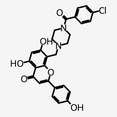 O=C(c1ccc(Cl)cc1)N1CCN(Cc2c(O)cc(O)c3c(=O)cc(-c4ccc(O)cc4)oc23)CC1